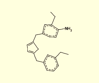 CCc1cccc(CC2=CC=C(Cc3ccc(N)c(CC)c3)C2)c1